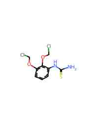 NC(=S)Nc1cccc(OCCl)c1OCCl